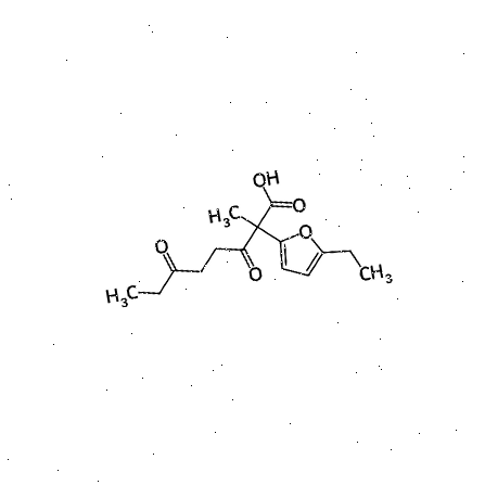 CCC(=O)CCC(=O)C(C)(C(=O)O)c1ccc(CC)o1